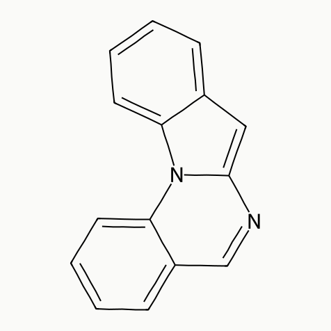 c1ccc2c(c1)cnc1cc3ccccc3n12